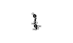 O=C(Nc1ccc(C(=O)O)c(O)c1)OCCOc1ccc(Cl)cc1